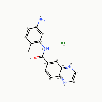 Cc1ccc(N)cc1NC(=O)c1ccc2nccnc2c1.Cl